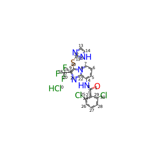 Cl.O=C(Nc1cccn2c(Sc3ncc[nH]3)c(C(F)(F)F)nc12)c1c(Cl)cccc1Cl